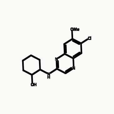 COc1cc2nc(NC3CCCCC3O)cnc2cc1Cl